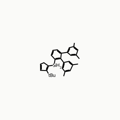 Cc1cc(C)cc(-c2cccc([SiH2]C3=C(C(C)(C)C)C=CC3)c2-c2cc(C)cc(C)c2)c1